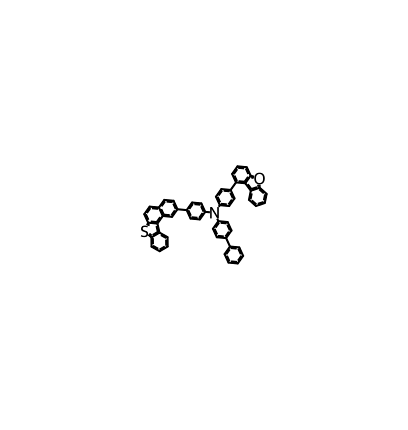 c1ccc(-c2ccc(N(c3ccc(-c4ccc5ccc6sc7ccccc7c6c5c4)cc3)c3ccc(-c4cccc5oc6ccccc6c45)cc3)cc2)cc1